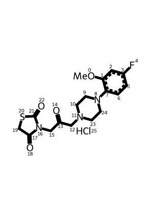 COc1cc(F)ccc1N1CCN(CC(=O)CN2C(=O)CSC2=O)CC1.Cl